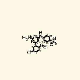 CCOc1ccc(Cl)cc1-c1cc(Nc2ccc(S(C)(=O)=O)cc2)nc(N)n1